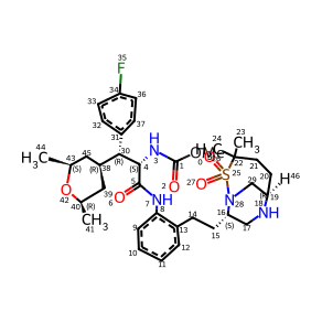 COC(=O)N[C@H](C(=O)Nc1ccccc1CC[C@H]1CN[C@@H]2CCC(C)(C)S(=O)(=O)N1C2)[C@@H](c1ccc(F)cc1)[C@H]1C[C@@H](C)O[C@@H](C)C1